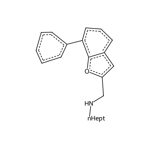 CCCCCCCNCc1cc2cccc(-c3ccccc3)c2o1